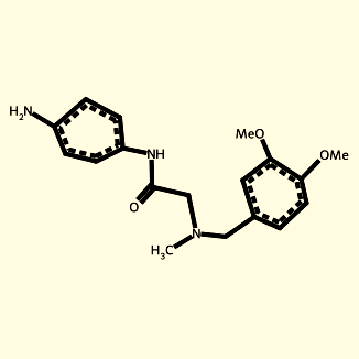 COc1ccc(CN(C)CC(=O)Nc2ccc(N)cc2)cc1OC